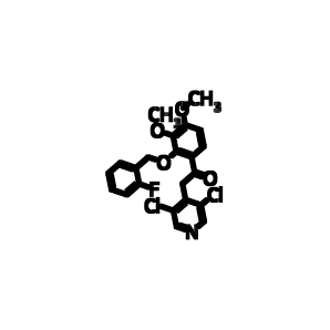 COc1ccc(C(=O)Cc2c(Cl)cncc2Cl)c(OCc2ccccc2F)c1OC